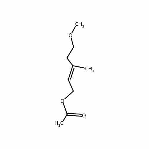 COCC/C(C)=C/COC(C)=O